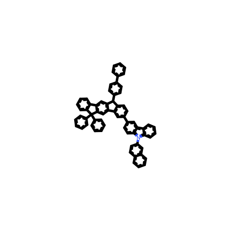 c1ccc(-c2ccc(C3c4ccc(-c5ccc6c(c5)c5ccccc5n6-c5ccc6ccccc6c5)cc4-c4cc5c(cc43)-c3ccccc3C5(c3ccccc3)c3ccccc3)cc2)cc1